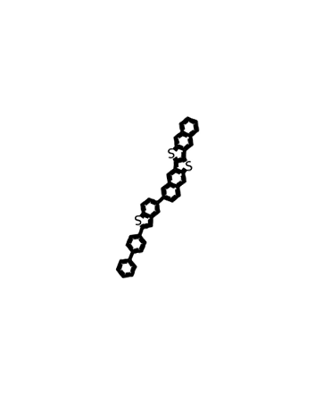 c1ccc(-c2ccc(-c3cc4cc(-c5ccc6cc7sc8c9cc%10ccccc%10cc9sc8c7cc6c5)ccc4s3)cc2)cc1